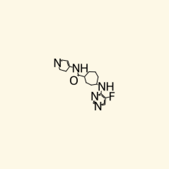 O=C(NC1=CC=NCC1)C1CCC[C@H](Nc2ncncc2F)CC1